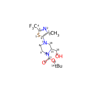 Cc1nc(C(F)(F)F)sc1N1CCN(C(=O)OC(C)(C)C)C(CO)C1